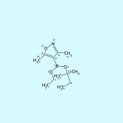 CCOB(OC(C)(C)CC)c1c(C)noc1C